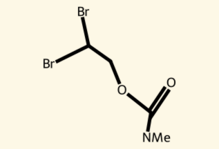 CNC(=O)OCC(Br)Br